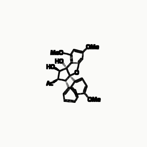 COc1ccc([C@@]23Oc4cc(OC)cc(OC)c4[C@]2(O)[C@H](O)[C@H](C(C)=O)[C@H]3c2ccccc2)cc1